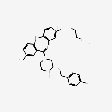 CC(C)c1ccc2c(c1)C(N1CCN[C@@H](CCc3ccc(F)cc3)C1)=Nc1cc(F)ccc1N2.O=C(O)CCC(=O)O